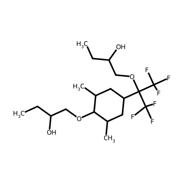 CCC(O)COC1C(C)CC(C(OCC(O)CC)(C(F)(F)F)C(F)(F)F)CC1C